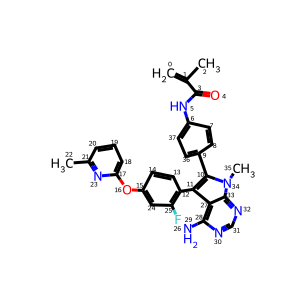 C=C(C)C(=O)Nc1ccc(-c2c(-c3ccc(Oc4cccc(C)n4)cc3F)c3c(N)ncnc3n2C)cc1